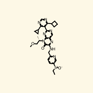 CC[S+]([O-])c1ccc(CNc2nc3cnc(-c4c(C5CCC5)ncnc4C4CC4)nc3n([C@@H](C)COC)c2=O)nc1